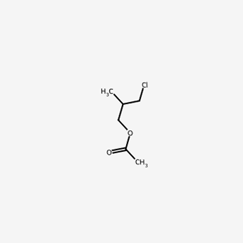 CC(=O)OCC(C)CCl